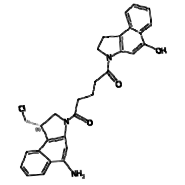 Nc1cc2c(c3ccccc13)[C@H](CCl)CN2C(=O)CCCC(=O)N1CCc2c1cc(O)c1ccccc21